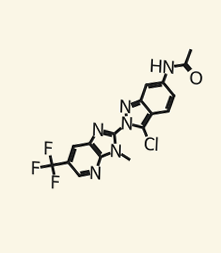 CC(=O)Nc1ccc2c(Cl)n(-c3nc4cc(C(F)(F)F)cnc4n3C)nc2c1